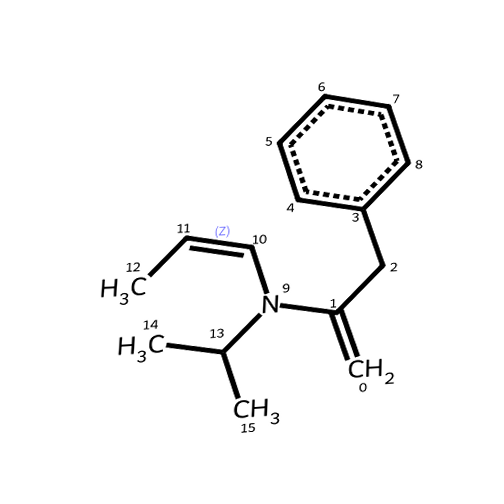 C=C(Cc1ccccc1)N(/C=C\C)C(C)C